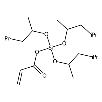 C=CC(=O)O[Si](OC(C)CC(C)C)(OC(C)CC(C)C)OC(C)CC(C)C